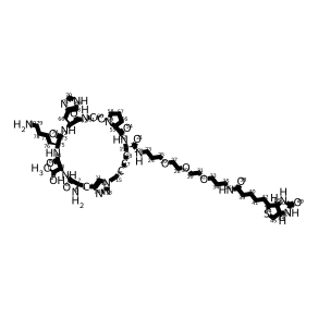 C[C@H](O)[C@@H]1NC(=O)[C@@H](N)Cc2cn(nn2)CCCC[C@@H](C(=O)NCCCOCCOCCOCCCNC(=O)CCCCC2SC[C@H]3NC(=O)N[C@@H]23)NC(=O)C2CCCN2CCNC(=O)[C@H](Cc2c[nH]cn2)NC(=O)[C@H](CCCCN)NC1=O